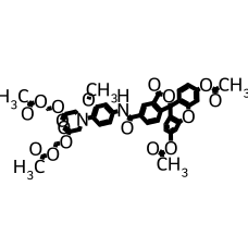 COc1cc(NC(=O)c2ccc3c(c2)C(=O)OC32c3ccc(OC(C)=O)cc3Oc3cc(OC(C)=O)ccc32)ccc1N(CC(=O)OCOC(C)=O)CC(=O)OCOC(C)=O